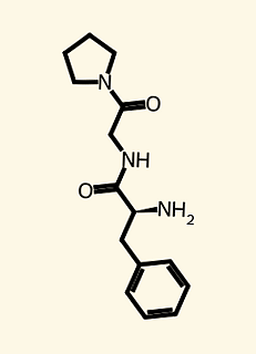 N[C@@H](Cc1ccccc1)C(=O)NCC(=O)N1CCCC1